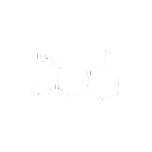 C=CN(C)CC1NC(C)CCO1